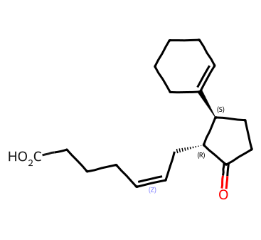 O=C(O)CCC/C=C\C[C@H]1C(=O)CC[C@@H]1C1=CCCCC1